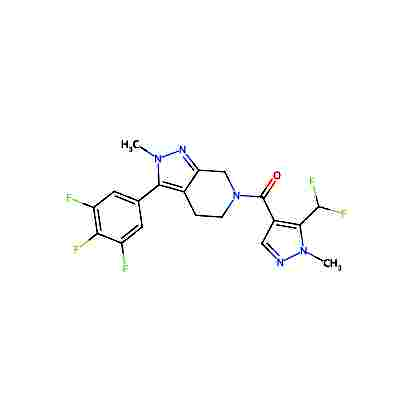 Cn1nc2c(c1-c1cc(F)c(F)c(F)c1)CCN(C(=O)c1cnn(C)c1C(F)F)C2